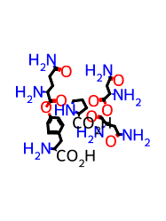 NC(=O)CC[C@H](N)C(=O)Oc1ccc(C[C@@H](N)C(=O)O)cc1.NC(=O)C[C@H](N)C(=O)OC(=O)[C@@H](N)CC(N)=O.O=C(O)[C@@H]1CCCN1